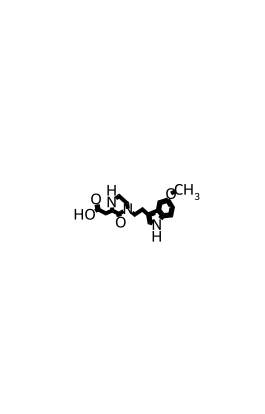 COc1ccc2[nH]cc(CCN3CCNC(CC(=O)O)C3=O)c2c1